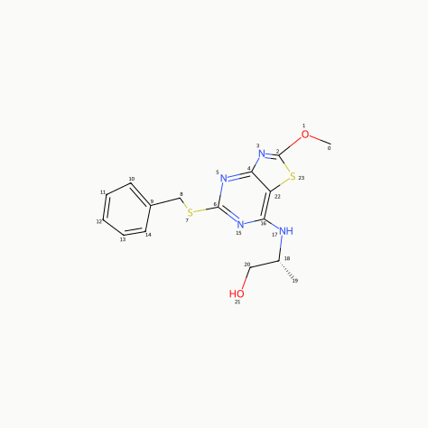 COc1nc2nc(SCc3ccccc3)nc(N[C@H](C)CO)c2s1